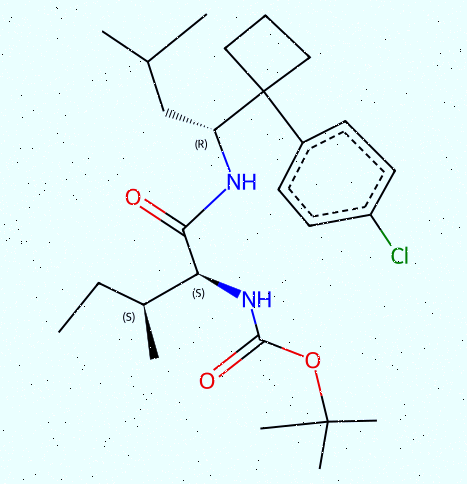 CC[C@H](C)[C@H](NC(=O)OC(C)(C)C)C(=O)N[C@H](CC(C)C)C1(c2ccc(Cl)cc2)CCC1